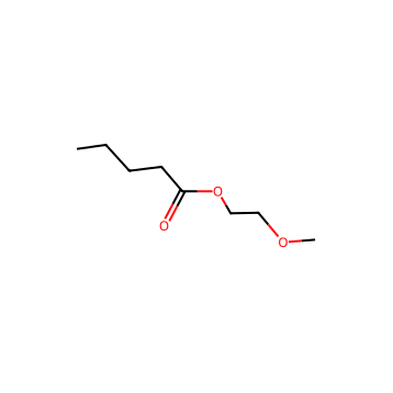 CCCCC(=O)OCCOC